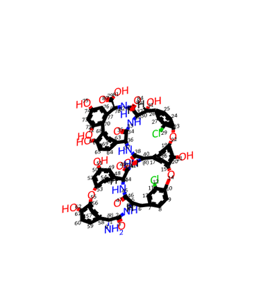 N[C@H]1C(=O)N[C@@H]2Cc3ccc(c(Cl)c3)Oc3cc4cc(c3O)Oc3ccc(cc3Cl)[C@@H](O)[C@@H]3NC(=O)C(NC(=O)[C@@H]4NC(=O)[C@@H](NC2=O)c2cc(O)cc(c2)Oc2cc1ccc2O)c1ccc(O)c(c1)-c1c(O)cc(O)cc1[C@@H](C(=O)O)NC3=O